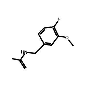 C=C(C)NCc1ccc(F)c(OC)c1